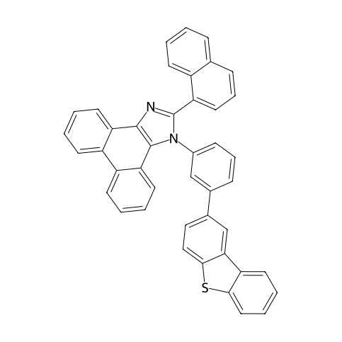 c1cc(-c2ccc3sc4ccccc4c3c2)cc(-n2c(-c3cccc4ccccc34)nc3c4ccccc4c4ccccc4c32)c1